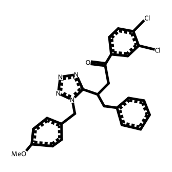 COc1ccc(Cn2nnnc2C(CC(=O)c2ccc(Cl)c(Cl)c2)Cc2ccccc2)cc1